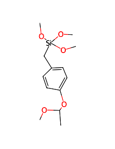 COC(C)Oc1ccc(C[Si](OC)(OC)OC)cc1